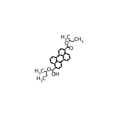 CCC(C)OC(=O)c1ccc2c3cccc4c(C(O)OC(C)CC)ccc(c5cccc1c25)c43